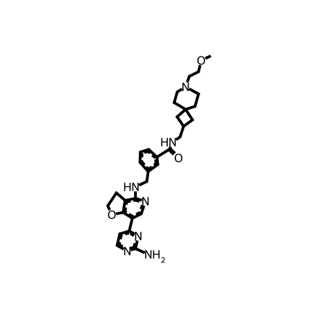 COCCN1CCC2(CC1)CC(CNC(=O)c1cccc(CNc3ncc(-c4ccnc(N)n4)c4c3CCO4)c1)C2